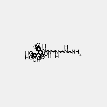 NCCCNCCCCNCCCNCC(=O)NC1c2cc3c(cc2C(c2cc(O)c(O)c(O)c2)C2C(=O)OCC12)OCO3